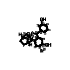 C[N+]1(C)[C@@H]2CC[C@H]1C[C@@H](CC(c1cccc(O)c1)c1cccc(O)c1)C2.[Br-]